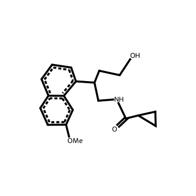 COc1ccc2cccc(C(CCO)CNC(=O)C3CC3)c2c1